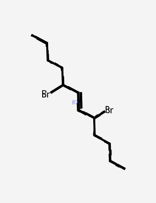 CCCCC(Br)/C=C/C(Br)CCCC